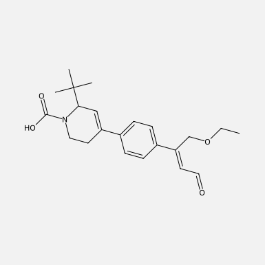 CCOCC(=CC=O)c1ccc(C2=CC(C(C)(C)C)N(C(=O)O)CC2)cc1